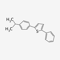 CC(C)c1ccc(-c2ccc(-c3ccccc3)s2)cc1